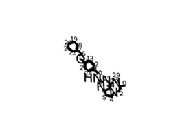 CC1Cn2ccc3nc(NCc4ccc(OCc5ccccc5)cc4)nc(c32)N1C